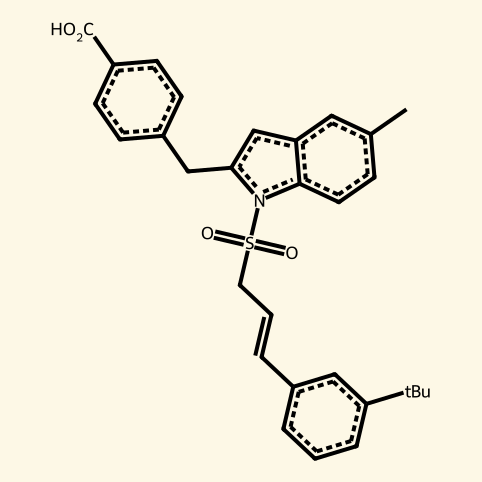 Cc1ccc2c(c1)cc(Cc1ccc(C(=O)O)cc1)n2S(=O)(=O)CC=Cc1cccc(C(C)(C)C)c1